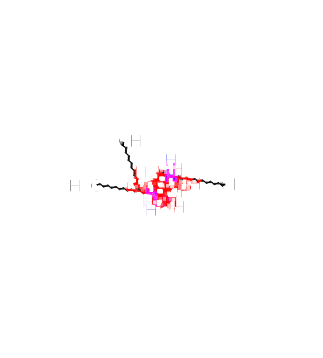 CCCCCCCCCCCC(=O)O[C@H](CCCCCCCCCCC)CC(=O)NC1C(OCC2OC(O)C(NC(=O)C[C@H](O)CCCCCCCCCCC)C(O)C2O)OC(CO)C(OP(=O)(O)O)C1O